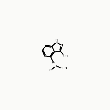 CCOC=O.Oc1n[nH]c2cccc(Br)c12